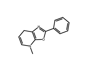 CN1C=CCc2nc(-c3ccccc3)oc21